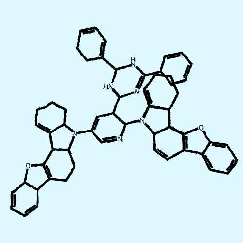 C1=CCCC(C2NC(C3C=CC=CC3)=NC(C3C=C(N4C5CCCC=C5C5C6=C(CCC54)C4C=CC=CC4O6)C=NC3N3C4=CCCCC4C4c5oc6ccccc6c5C=CC43)N2)=C1